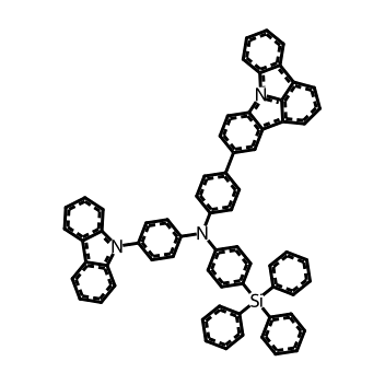 c1ccc([Si](c2ccccc2)(c2ccccc2)c2ccc(N(c3ccc(-c4ccc5c(c4)c4cccc6c7ccccc7n5c64)cc3)c3ccc(-n4c5ccccc5c5ccccc54)cc3)cc2)cc1